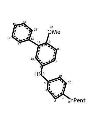 CCCCCc1ccc(Nc2ccc(OC)c(-c3ccccc3)c2)cc1